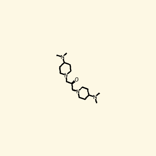 CN(C)C1CCN(CC(=O)CN2CCC(N(C)C)CC2)CC1